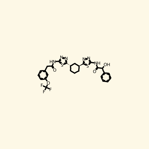 O=C(Cc1cccc(OC(F)(F)F)c1)Nc1nnc([C@H]2CCC[C@H](c3nnc(NC(=O)C(O)c4ccccc4)s3)C2)s1